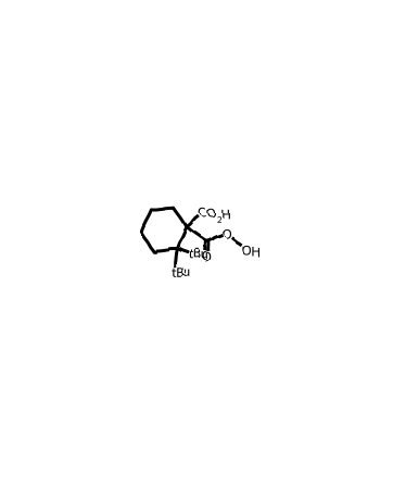 CC(C)(C)C1(C(C)(C)C)CCCCC1(C(=O)O)C(=O)OO